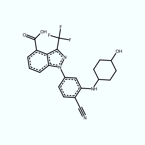 N#Cc1ccc(-n2nc(C(F)(F)F)c3c(C(=O)O)cccc32)cc1NC1CCC(O)CC1